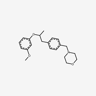 COc1cccc(OC(C)Cc2ccc(CN3CCOCC3)cc2)c1